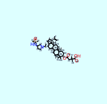 C=C(C)[C@@H]1CC[C@]2(CCN3CCC(NS(=C)(C)=O)C3)CC[C@]3(C)[C@H](CC[C@@H]4[C@@]5(C)CC[C@H](OC(=O)CC(C)(C)C(=O)O)C(C)(C)[C@@H]5CC[C@]43C)[C@@H]12